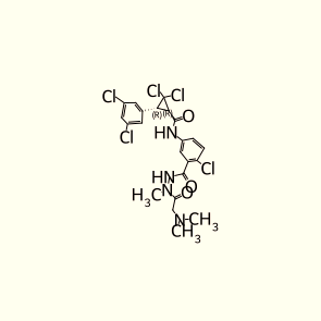 CN(C)CC(=O)N(C)NC(=O)c1cc(NC(=O)[C@H]2[C@H](c3cc(Cl)cc(Cl)c3)C2(Cl)Cl)ccc1Cl